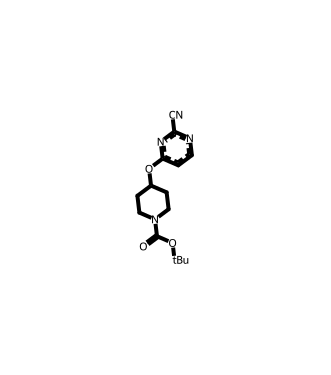 CC(C)(C)OC(=O)N1CCC(Oc2ccnc(C#N)n2)CC1